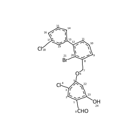 O=Cc1cc(Cl)c(OCc2cccc(-c3cccc(Cl)c3)c2Br)cc1O